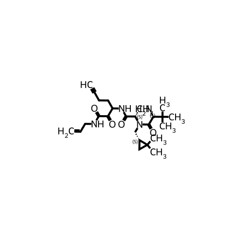 C#CCCC(NC(=O)[C@H](C)N(C[C@H]1CC1(C)C)C(=O)[C@@H](N)C(C)(C)C)C(=O)C(=O)NCC=C